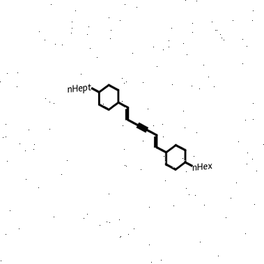 CCCCCCCC1CCC(C=CC#CC=CC2CCC(CCCCCC)CC2)CC1